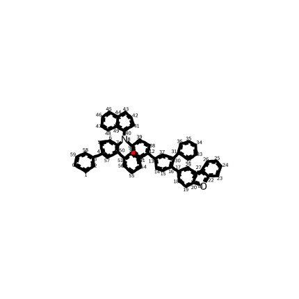 c1ccc(-c2ccc(N(c3ccc(-c4ccc(-c5ccc6oc7ccccc7c6c5)c(-c5ccccc5)c4)cc3)c3cccc4ccccc34)c(-c3ccccc3)c2)cc1